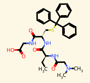 CC[C@H](NC(=O)CN(C)C)C(=O)N[C@@H](CSC(c1ccccc1)(c1ccccc1)c1ccccc1)C(=O)NCC(=O)O